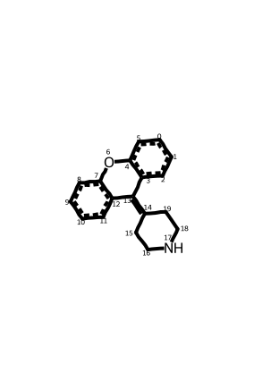 c1ccc2c(c1)Oc1ccccc1C2=C1CCNCC1